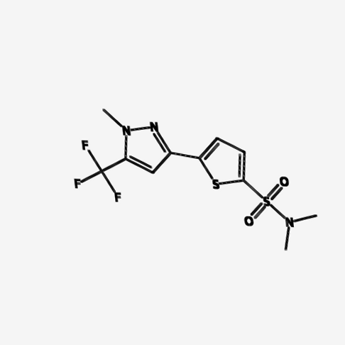 CN(C)S(=O)(=O)c1ccc(-c2cc(C(F)(F)F)n(C)n2)s1